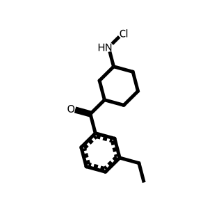 CCc1cccc(C(=O)C2CCCC(NCl)C2)c1